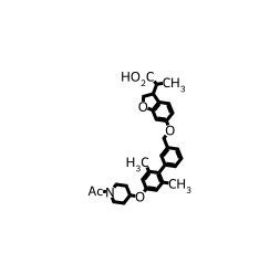 CC(=O)N1CCC(Oc2cc(C)c(-c3cccc(COc4ccc5c(c4)OCC5C(C)C(=O)O)c3)c(C)c2)CC1